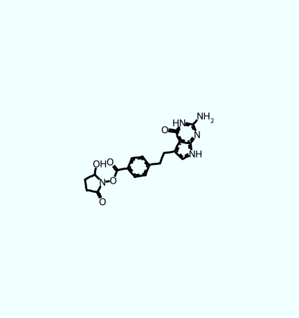 Nc1nc2[nH]cc(CCc3ccc(C(=O)ON4C(=O)CCC4O)cc3)c2c(=O)[nH]1